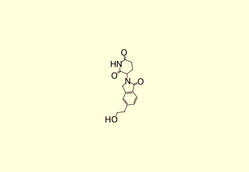 O=C1CCC(N2Cc3cc(CCO)ccc3C2=O)C(=O)N1